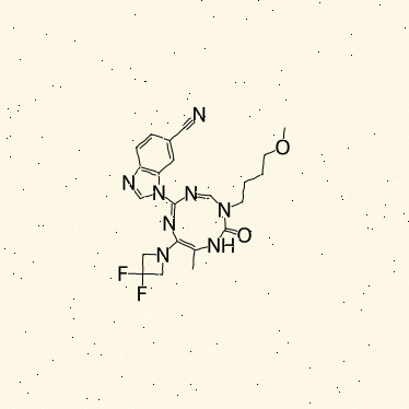 COCCCCn1cnc(-n2cnc3ccc(C#N)cc32)nc(N2CC(F)(F)C2)c(C)[nH]c1=O